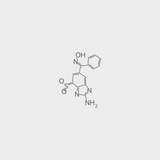 NC1=NC2=CC(C(=NO)c3ccccc3)=CC(=S(=O)=O)C2=N1